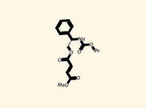 COC(=O)/C=C/C(=O)OC[C@@H](NC(=O)OC(C)C)c1ccccc1